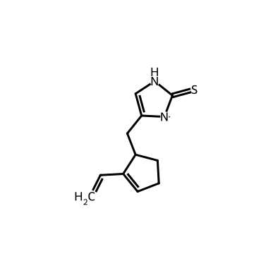 C=CC1=CCCC1CC1=CNC(=S)[N]1